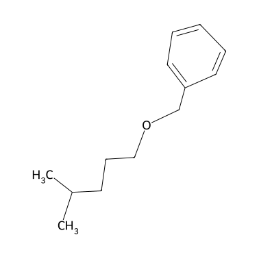 CC(C)CCCOCc1ccccc1